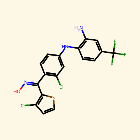 Nc1cc(C(F)(F)F)ccc1Nc1ccc(/C(=N/O)c2sccc2Cl)c(Cl)c1